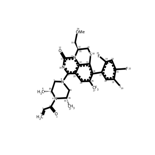 C=CC(=O)N1[C@H](C)CN(c2nc(=O)n3c4c(c(-c5cc(I)c(F)cc5F)c(C(F)(F)F)cc24)SC[C@@H]3COC)C[C@@H]1C